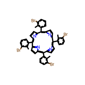 Cc1c(Br)cccc1C1=C2C=CC(=N2)C(c2cccc(Br)c2C)=C2C=CC(=N2)C(c2cccc(Br)c2C)=C2C=CC(=N2)C(c2cccc(Br)c2C)=C2C=CC1=N2